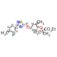 CCOC(=O)C(C)(C)Oc1ccc(OCc2nc(-c3ccc(C)c(F)c3)ns2)cc1C